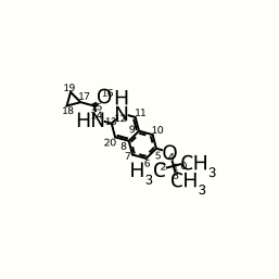 CC(C)(C)Oc1ccc2c(c1)=CNC(NC(=O)C1CC1)C=2